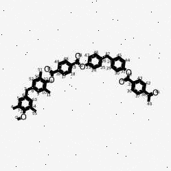 COc1c(C)cc(Cc2cc(C)c(OC(=O)c3ccc(C(=O)Oc4ccc(Cc5ccc(OC(=O)c6ccc(C(C)=O)cc6)cc5)cc4)cc3)c(C)c2)cc1C